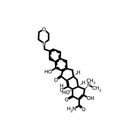 CN(C)[C@@H]1C(O)=C(C(N)=O)C(=O)[C@@]2(O)C(O)=C3C(=O)c4c(cc5ccc(CN6CCOCC6)cc5c4O)C[C@H]3C[C@@H]12